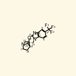 FC(F)(F)c1ccc2c(c1)nc1n2C[C@]2(CN3CCC2CC3)O1